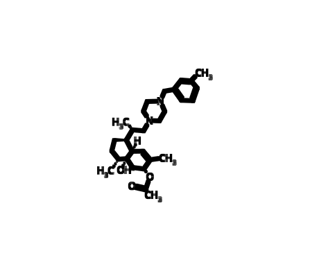 CC(=O)O[C@@H]1[C][C@@]2(O)[C@H](C)CC[C@@H]([C@H](C)CN3CCN(Cc4cccc(C)c4)CC3)[C@H]2C=C1C